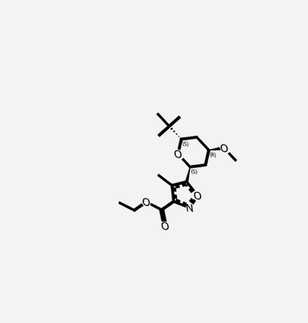 CCOC(=O)c1noc([C@@H]2C[C@H](OC)C[C@@H](C(C)(C)C)O2)c1C